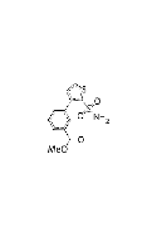 COC(=O)c1cccc(-c2ccsc2S(N)(=O)=O)c1